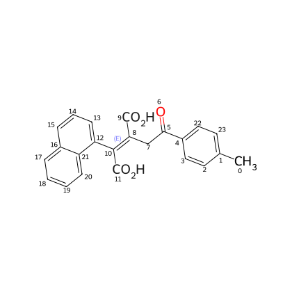 Cc1ccc(C(=O)C/C(C(=O)O)=C(\C(=O)O)c2cccc3ccccc23)cc1